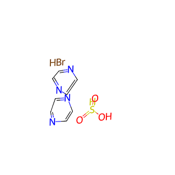 Br.O=[SH](=O)O.c1cnccn1.c1cnccn1